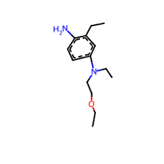 CCOCCN(CC)c1ccc(N)c(CC)c1